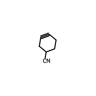 N#CC1CC#CCC1